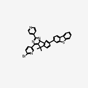 CC1(C)c2ccc(-c3ccc4c(c3)sc3ccccc34)cc2-c2nc(-c3ccncc3)nc(-c3ccc(Br)nc3)c21